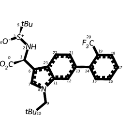 CCOC(=O)[C@@H](N[S@@+]([O-])C(C)(C)C)c1cn(CC(C)(C)C)c2cc(-c3ccccc3C(F)(F)F)ccc12